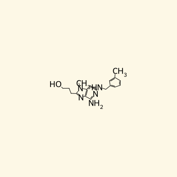 Cc1cccc(CNc2cc3c(nc(CCCO)n3C)c(N)n2)c1